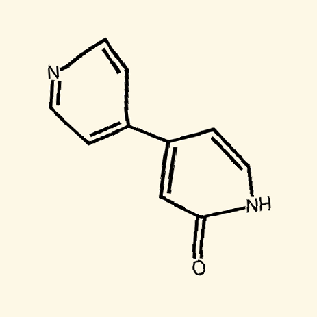 O=c1cc(-c2ccncc2)cc[nH]1